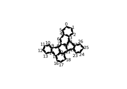 c1ccc2c(c1)cc1c3c4ccccc4c4cccc(c43)c3c4ccccc4c2c13